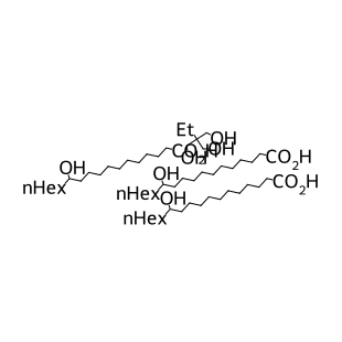 CCC(CO)(CO)CO.CCCCCCC(O)CCCCCCCCCCC(=O)O.CCCCCCC(O)CCCCCCCCCCC(=O)O.CCCCCCC(O)CCCCCCCCCCC(=O)O